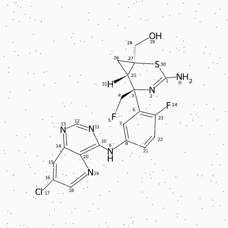 NC1=N[C@](CF)(c2cc(Nc3ncnc4cc(Cl)cnc34)ccc2F)[C@@H]2C[C@@]2(CO)S1